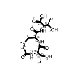 C[C@@H](O)[C@H](NC(=O)[C@@H]1CSCC(=O)N[C@@H]([C@@H](C)O)C(=O)N1)C(=O)O